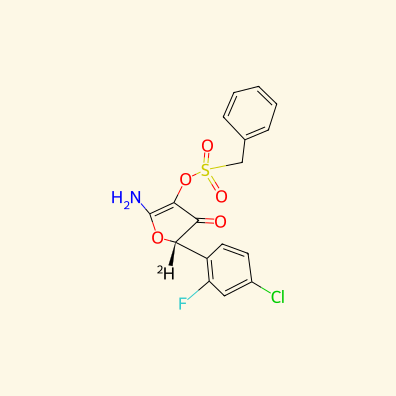 [2H][C@@]1(c2ccc(Cl)cc2F)OC(N)=C(OS(=O)(=O)Cc2ccccc2)C1=O